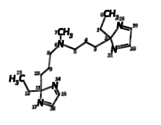 CCC1(CCCN(C)CCCC2(CC)N=CC=N2)N=CC=N1